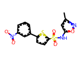 Cc1cc(NS(=O)(=O)c2ccc(-c3cccc([N+](=O)[O-])c3)s2)on1